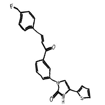 O=C(C=Cc1ccc(F)cc1)c1cccc(-n2cc(-c3cccs3)[nH]c2=O)c1